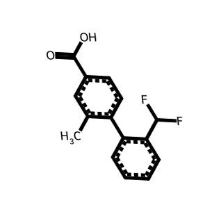 Cc1cc(C(=O)O)ccc1-c1ccccc1C(F)F